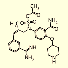 CC(=O)OS(=O)(=O)N(CC(C)=Cc1cccc(C(=N)N)c1)c1ccc(OC2CCNCC2)c(C(N)=O)c1